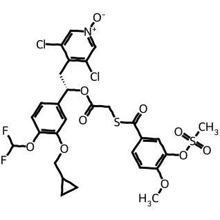 COc1ccc(C(=O)SCC(=O)O[C@@H](Cc2c(Cl)c[n+]([O-])cc2Cl)c2ccc(OC(F)F)c(OCC3CC3)c2)cc1OS(C)(=O)=O